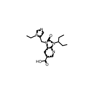 CCC(CC)n1c(=O)n(Cc2cncn2CC)c2cc(C(=O)O)cnc21